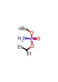 CCCCOP(N)(=O)OC(CC)CC